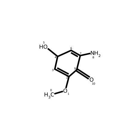 COC1=CC(O)C=C(N)C1=O